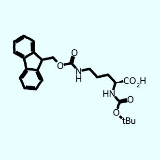 CC(C)(C)OC(=O)N[C@@H](CCCNC(=O)OCC1c2ccccc2-c2ccccc21)C(=O)O